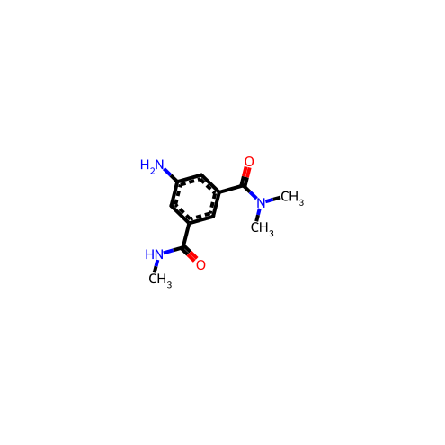 CNC(=O)c1cc(N)cc(C(=O)N(C)C)c1